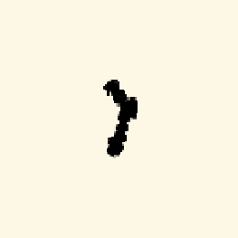 CC1(C)c2ccccc2-c2ccc(-c3ccc(-c4ccc5c(c4)c4ccccc4n5-c4ccc(-c5ncccn5)cc4)cc3)cc21